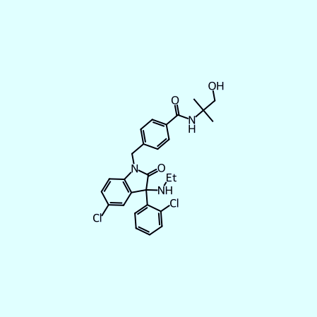 CCNC1(c2ccccc2Cl)C(=O)N(Cc2ccc(C(=O)NC(C)(C)CO)cc2)c2ccc(Cl)cc21